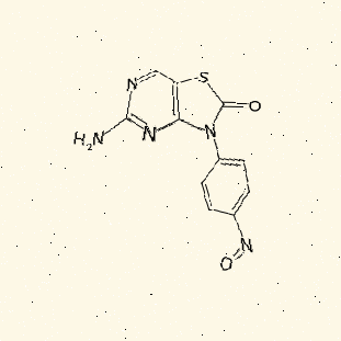 Nc1ncc2sc(=O)n(-c3ccc(N=O)cc3)c2n1